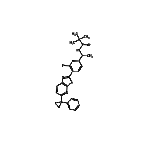 CC(N[S+]([O-])C(C)(C)C)c1ccc(-c2nc3ccc(C4(c5ccccc5)CC4)nc3s2)c(F)c1